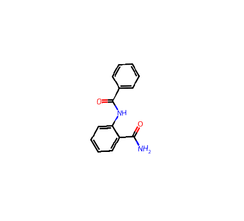 NC(=O)c1ccccc1NC(=O)c1ccccc1